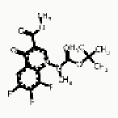 COC(=O)c1cn(N(C)C(=O)OC(C)(C)C)c2c(F)c(F)c(F)cc2c1=O